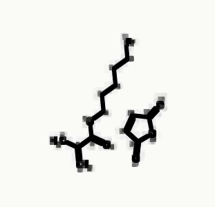 C=C(C)C(=O)OCCCCCC(C)C.O=C1C=CC(=O)O1